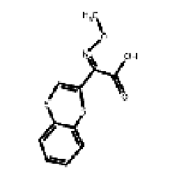 CON=C(C(=O)O)C1=CSc2ccccc2S1